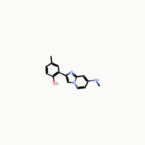 CNc1ccn2cc(-c3cc(C)ccc3O)nc2c1